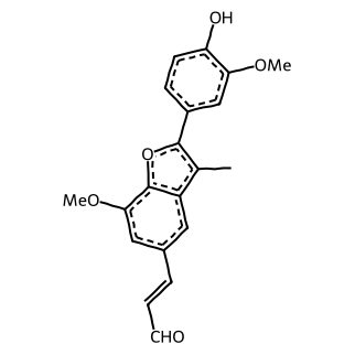 COc1cc(-c2oc3c(OC)cc(/C=C/C=O)cc3c2C)ccc1O